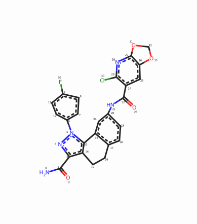 NC(=O)c1nn(-c2ccc(F)cc2)c2c1CCc1ccc(NC(=O)c3cc4c(nc3Cl)OCO4)cc1-2